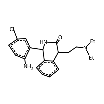 CCN(CC)CCC1C(=O)NC(c2cc(Cl)ccc2N)c2ccccc21